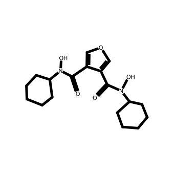 O=C(c1cocc1C(=O)N(O)C1CCCCC1)N(O)C1CCCCC1